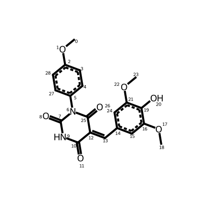 COc1ccc(N2C(=O)NC(=O)/C(=C/c3cc(OC)c(O)c(OC)c3)C2=O)cc1